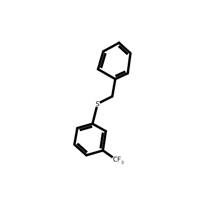 FC(F)(F)c1cccc(SCc2cc[c]cc2)c1